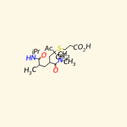 CC(=O)C(C)(CC(CC(C)C(=O)NC(C)C)C(=O)N(C)C)SCCC(=O)O